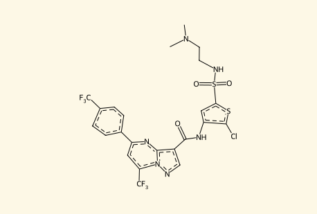 CN(C)CCNS(=O)(=O)c1cc(NC(=O)c2cnn3c(C(F)(F)F)cc(-c4ccc(C(F)(F)F)cc4)nc23)c(Cl)s1